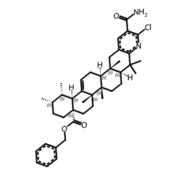 C[C@@H]1[C@H]2C3=CC[C@H]4[C@]5(C)Cc6cc(C(N)=O)c(Cl)nc6C(C)(C)[C@H]5CC[C@]4(C)[C@]3(C)CC[C@@]2(C(=O)OCc2ccccc2)CC[C@@H]1C